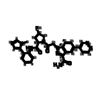 Cn1cncc1-c1ccccc1NC(=O)C1CC(F)CN1C(=O)Cn1nc(C(N)=O)c2cc(-c3ccnnc3)ccc21